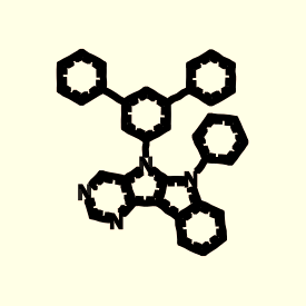 c1ccc(-c2cc(-c3ccccc3)cc(-n3c4cncnc4c4c5ccccc5n(-c5ccccc5)c43)c2)cc1